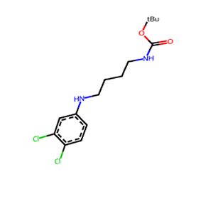 CC(C)(C)OC(=O)NCCCCNc1ccc(Cl)c(Cl)c1